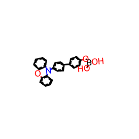 OB(O)Oc1ccc(-c2ccc(N3c4ccccc4Oc4ccccc43)cc2)cc1